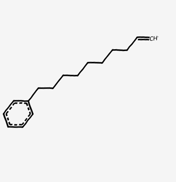 [CH]=CCCCCCCCCc1ccccc1